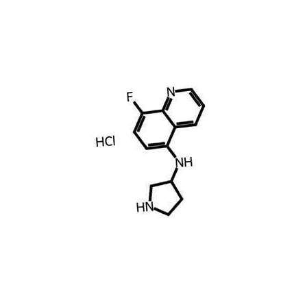 Cl.Fc1ccc(NC2CCNC2)c2cccnc12